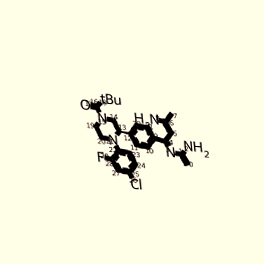 C=C(N)/N=C(\C=C(\C)N)c1ccc([C@@H]2CN(C(=O)C(C)(C)C)CCN2c2ccc(Cl)cc2F)cc1